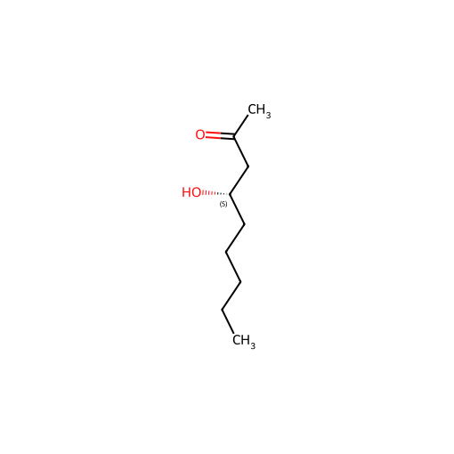 CCCCC[C@H](O)CC(C)=O